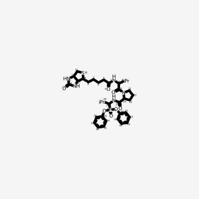 CC(C)C(NC(=O)CCCCC1SCC2NC(=O)NC21)C(=O)N1CCCC1C(=O)NC(C(C)C)P(=O)(Oc1ccccc1)Oc1ccccc1